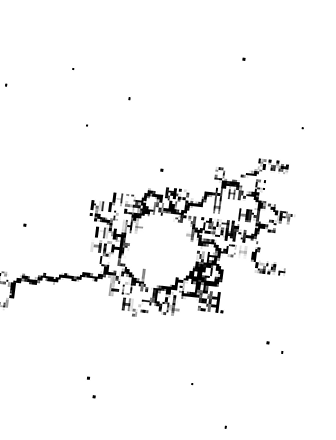 CC[C@H](C)C[C@H](C)CCCCCCCCC(=O)N[C@H]1C[C@@H](O)[C@@H](NCCN)NC(=O)[C@@H]2[C@@H](O)CCN2C(=O)[C@H]([C@H](O)CCNC(=O)[C@H](CCSC)NC(=O)[C@H](CC(C)C)NC(=O)[C@H](CCSC)NC=O)NC(=O)[C@H]([C@H](O)[C@@H](O)c2ccc(O)cc2)NC(=O)[C@@H]2C[C@@H](O)CN2C(=O)[C@H]([C@@H](C)O)NC1=O